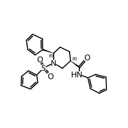 O=C(Nc1ccccc1)[C@@H]1CC[C@H](c2ccccc2)N(S(=O)(=O)c2ccccc2)C1